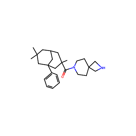 CC1(C)CC2CC(C)(C(=O)N3CCC4(CC3)CNC4)CC(c3ccccc3)(C2)C1